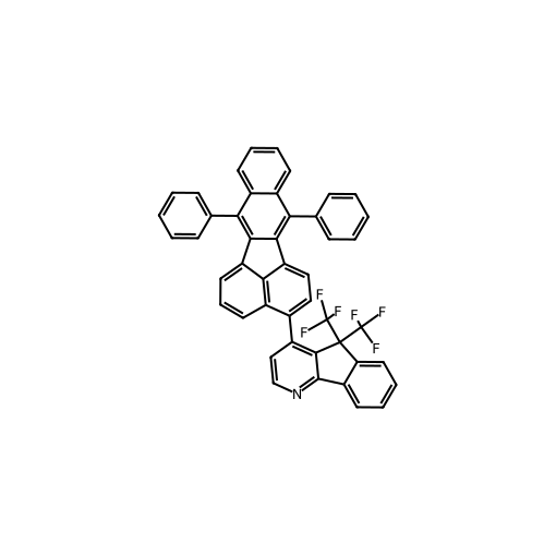 FC(F)(F)C1(C(F)(F)F)c2ccccc2-c2nccc(-c3ccc4c5c(cccc35)-c3c-4c(-c4ccccc4)c4ccccc4c3-c3ccccc3)c21